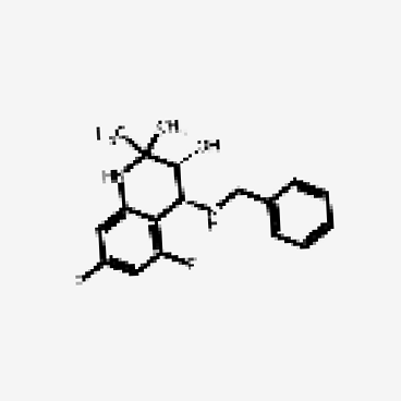 CC1(C)Nc2cc(F)cc(F)c2[C@H](NCc2ccccc2)[C@H]1O